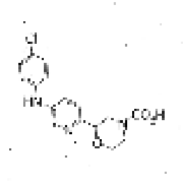 O=C(O)N1CCOC(c2ccc(Nc3ccc(Cl)cc3)cn2)C1